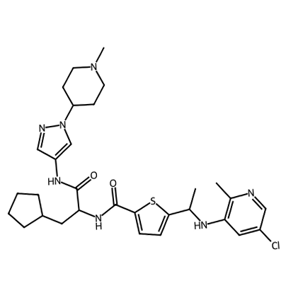 Cc1ncc(Cl)cc1NC(C)c1ccc(C(=O)NC(CC2CCCC2)C(=O)Nc2cnn(C3CCN(C)CC3)c2)s1